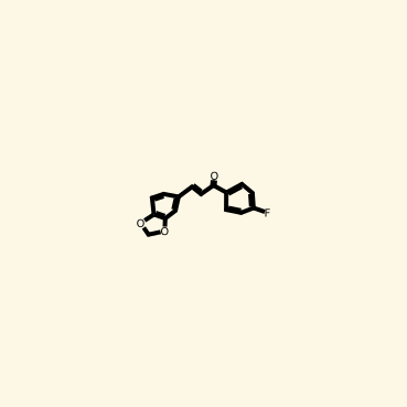 O=C(C=Cc1ccc2c(c1)OCO2)c1ccc(F)cc1